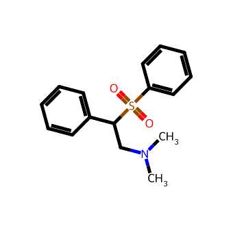 CN(C)CC(c1ccccc1)S(=O)(=O)c1ccccc1